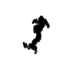 C=C(C)C(=O)OCCCCCCCCCCOc1ccc(CNc2ccc(/N=N/c3ccc(C(C)(C)C(C)(C)C)cc3)c3ccccc23)cc1